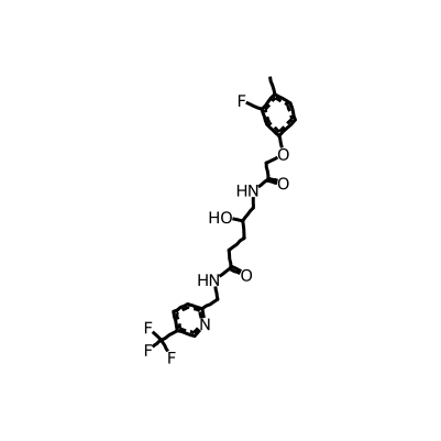 Cc1ccc(OCC(=O)NCC(O)CCC(=O)NCc2ccc(C(F)(F)F)cn2)cc1F